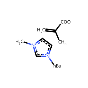 C=C(C)C(=O)[O-].CCCCn1cc[n+](C)c1